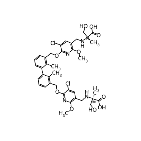 COc1nc(OCc2cccc(-c3cccc(COc4nc(OC)c(CN[C@](C)(CO)C(=O)O)cc4Cl)c3C)c2C)c(Cl)cc1CN[C@](C)(CO)C(=O)O